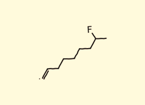 [CH]=CCCCCCC(C)F